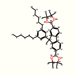 CCCCCCc1cc(CCCCCC)cc(C2(C)c3cc(B4OC(C)(C)C(C)(C)O4)ccc3-c3ccc(B4OC(C)(C)C(C)(C)O4)cc32)c1